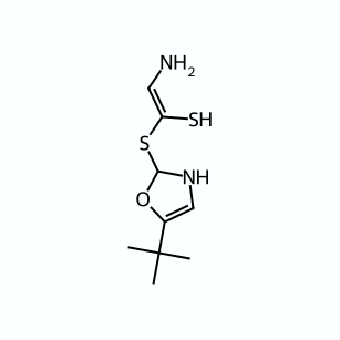 CC(C)(C)C1=CNC(S/C(S)=C/N)O1